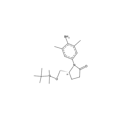 Bc1c(C)cc(N2C(=O)CC[C@@H]2CO[Si](C)(C)C(C)(C)C)cc1C